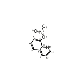 O=[N+]([O-])Oc1cccc2cccnc12